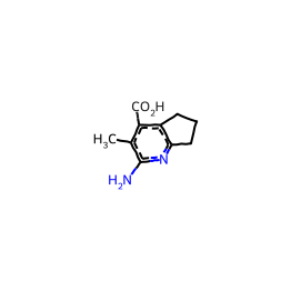 Cc1c(N)nc2c(c1C(=O)O)CCC2